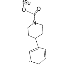 CC(C)(C)OC(=O)N1CCC(C2=C[CH]CC=C2)CC1